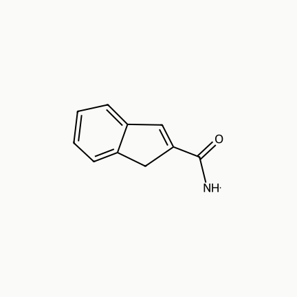 [NH]C(=O)C1=Cc2ccccc2C1